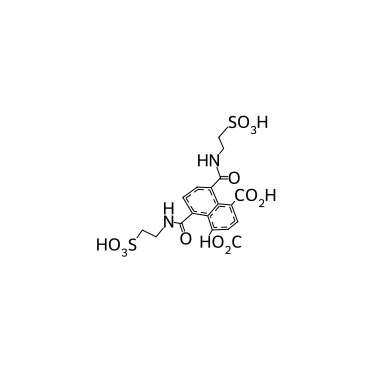 O=C(O)c1ccc(C(=O)O)c2c(C(=O)NCCS(=O)(=O)O)ccc(C(=O)NCCS(=O)(=O)O)c12